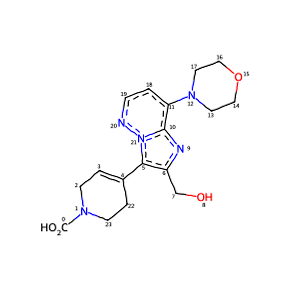 O=C(O)N1CC=C(c2c(CO)nc3c(N4CCOCC4)ccnn23)CC1